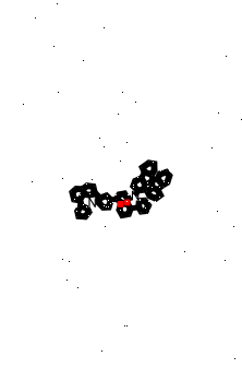 c1ccc(-c2ccccc2N(c2ccc(-c3ccc4c(c3)c3ccc5cccc6c7ccccc7n4c3c56)cc2)c2ccc3c(c2)C2(c4ccccc4-c4ccccc42)c2ccccc2-3)cc1